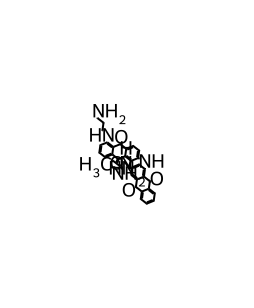 CCC(N)Nc1cc2[nH]c3ccc4c(=O)c5c(NCCCN)cccc5c(=O)c4c3[nH]c1c1c(=O)c3ccccc3c(=O)c21